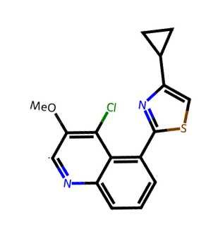 COc1[c]nc2cccc(-c3nc(C4CC4)cs3)c2c1Cl